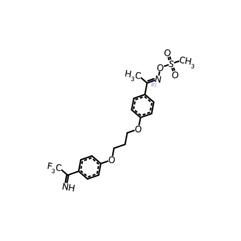 C/C(=N\OS(C)(=O)=O)c1ccc(OCCCOc2ccc(C(=N)C(F)(F)F)cc2)cc1